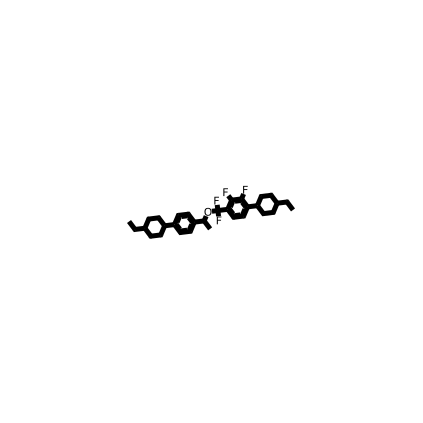 CCC1CCC(c2ccc(C(C)OC(F)(F)c3ccc(C4CCC(CC)CC4)c(F)c3F)cc2)CC1